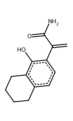 C=C(C(N)=O)c1ccc2c(c1O)CCCC2